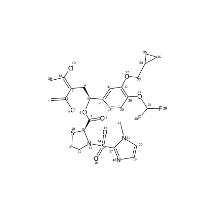 C=C(Cl)/C(C[C@H](OC(=O)[C@@H]1SCCN1S(=O)(=O)c1nccn1C)c1ccc(OC(F)F)c(OCC2CC2)c1)=C(\C)Cl